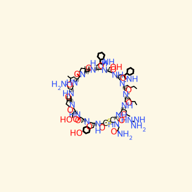 CCCC[C@H]1C(=O)N(C)[C@@H](CCCC)C(=O)N[C@@H](CCCNC(=N)N)C(=O)N[C@H](C(=O)NCC(N)=O)CSCC(=O)N[C@@H](Cc2ccc(O)cc2)C(=O)N(C)[C@@H](C)C(=O)N[C@@H](CC(=O)O)C(=O)N2CCC[C@H]2C(=O)N[C@@H](CCN)C(=O)N[C@@H](CC(C)C)C(=O)N2CCC[C@H]2C(=O)N[C@@H](Cc2c[nH]c3ccccc23)C(=O)N[C@@H](CO)C(=O)N[C@@H](Cc2c[nH]c3ccccc23)C(=O)N1C